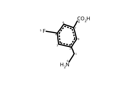 NCc1cc(F)cc(C(=O)O)c1